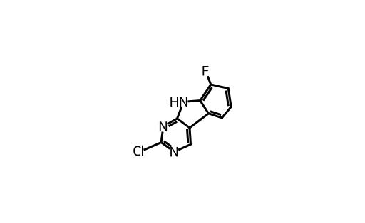 Fc1cccc2c1[nH]c1nc(Cl)ncc12